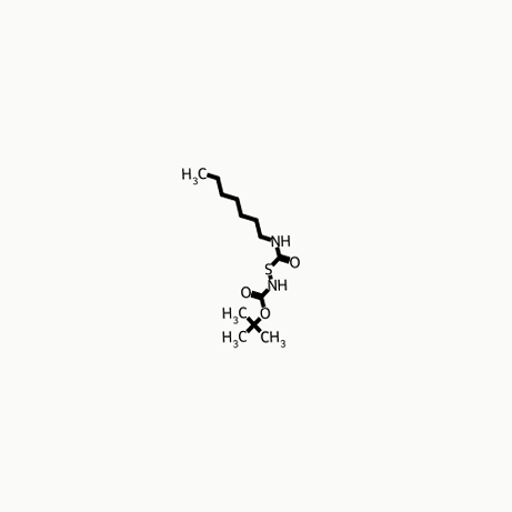 CCCCCCCNC(=O)SNC(=O)OC(C)(C)C